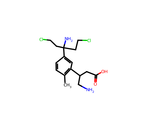 Cc1ccc(C(N)(CCCl)CCCl)cc1C(CN)CC(=O)O